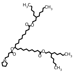 CCCCCC(CCCCC)CCOC(=O)CCCCCCCCC(CCCCCCCCC(=O)OCCC(CCCCC)CCCCC)OC(=O)CCCN1CCCC1